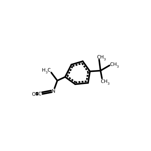 CC(N=C=O)c1ccc(C(C)(C)C)cc1